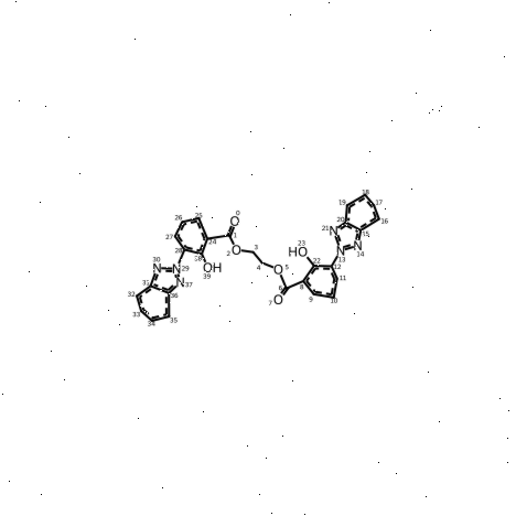 O=C(OCCOC(=O)c1cccc(-n2nc3ccccc3n2)c1O)c1cccc(-n2nc3ccccc3n2)c1O